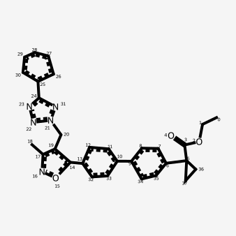 CCOC(=O)C1(c2ccc(-c3ccc(-c4onc(C)c4Cn4nnc(-c5ccccc5)n4)cc3)cc2)CC1